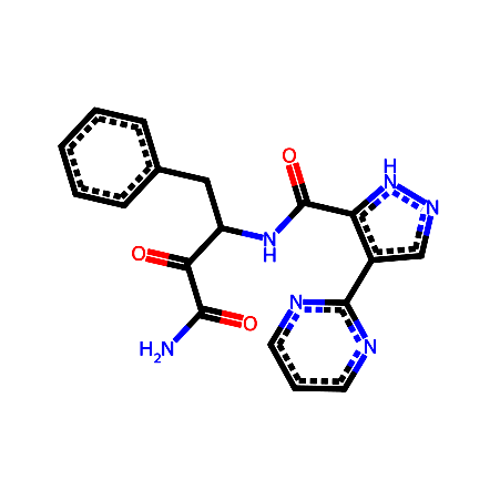 NC(=O)C(=O)C(Cc1ccccc1)NC(=O)c1[nH]ncc1-c1ncccn1